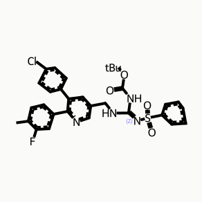 Cc1ccc(-c2ncc(CN/C(=N/S(=O)(=O)c3ccccc3)NC(=O)OC(C)(C)C)cc2-c2ccc(Cl)cc2)cc1F